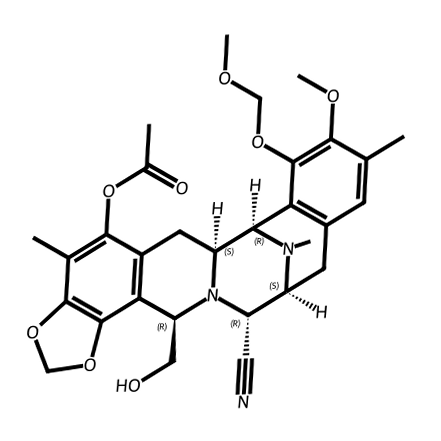 COCOc1c(OC)c(C)cc2c1[C@@H]1[C@@H]3Cc4c(OC(C)=O)c(C)c5c(c4[C@H](CO)N3[C@@H](C#N)[C@H](C2)N1C)OCO5